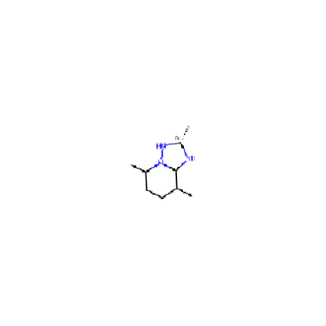 CC1CCC(C)N2N[C@H](C)NC12